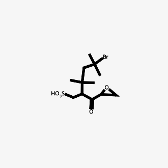 CC(C)(Br)CC(C)(C)C(CS(=O)(=O)O)C(=O)C1CO1